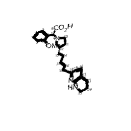 COc1ccccc1[C@@H](C(=O)O)N1CC[C@@H](CCCCCc2ccc3c(n2)NCCC3)C1